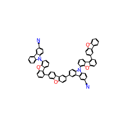 N#Cc1ccc2c(c1)c1ccccc1n2-c1cccc2c1oc1cccc(-c3ccc4c(c3)oc3ccc(-c5ccc6c(c5)c5cc(C#N)ccc5n6-c5cccc6c5oc5cccc(-c7ccc8oc9ccccc9c8c7)c56)cc34)c12